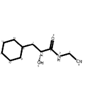 N#CCNC(=O)[C@H](O)CC1CCCCC1